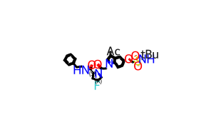 CC(=O)c1cn(CC(=O)N2C[C@H](F)C[C@H]2C(=O)NCCc2ccccc2)c2ccc(OCS(=O)(=O)NC(C)(C)C)cc12